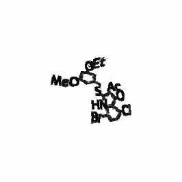 CCOc1cc(CSc2[nH]c3c(Br)ccc(Cl)c3c(=O)c2C(C)=O)cc(OC)c1